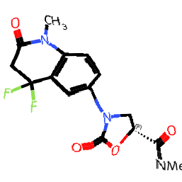 CNC(=O)[C@H]1CN(c2ccc3c(c2)C(F)(F)CC(=O)N3C)C(=O)O1